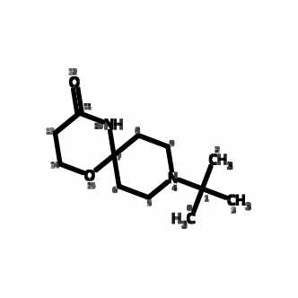 CC(C)(C)N1CCC2(CC1)NC(=O)CCO2